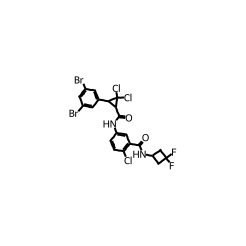 O=C(NC1CC(F)(F)C1)c1cc(NC(=O)C2C(c3cc(Br)cc(Br)c3)C2(Cl)Cl)ccc1Cl